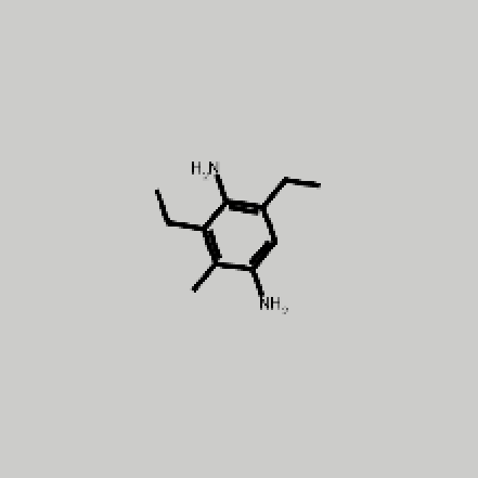 CCc1cc(N)c(C)c(CC)c1N